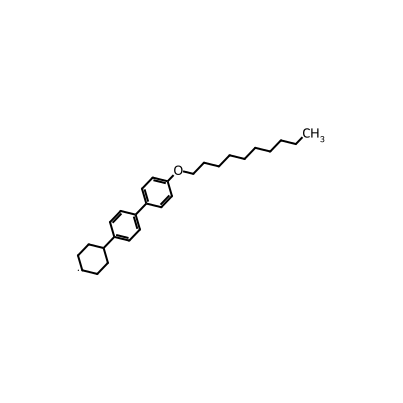 CCCCCCCCCCOc1ccc(-c2ccc(C3CC[CH]CC3)cc2)cc1